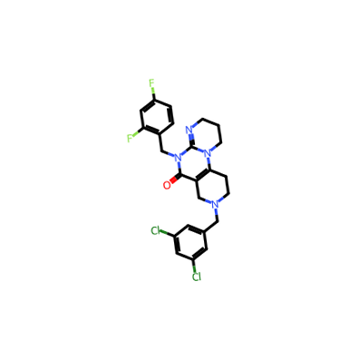 O=C1C2=C(CCN(Cc3cc(Cl)cc(Cl)c3)C2)N2CCCN=C2N1Cc1ccc(F)cc1F